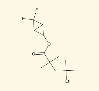 CCC(C)(C)CC(C)(C)C(=O)OC1C2C1C2(F)F